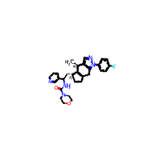 C[C@@H]1C2=C(CC[C@@H]2CC(NC(=O)N2CCOCC2)c2cccnc2)Cc2c1cnn2-c1ccc(F)cc1